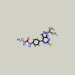 CNC(=O)Nc1ccc(-c2nc(Cl)nc3c2cnn3C(C)C)cc1